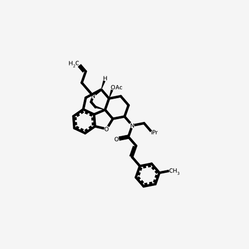 C=CCN1CC[C@]23c4c5cccc4OC2C(N(CC(C)C)C(=O)/C=C/c2cccc(C)c2)CC[C@@]3(OC(C)=O)[C@H]1C5